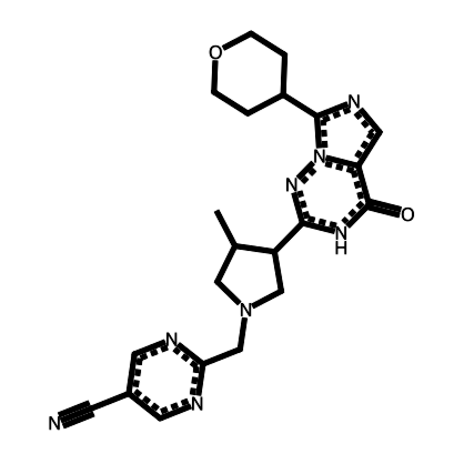 CC1CN(Cc2ncc(C#N)cn2)CC1c1nn2c(C3CCOCC3)ncc2c(=O)[nH]1